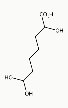 O=C(O)C(O)CCCCC(O)O